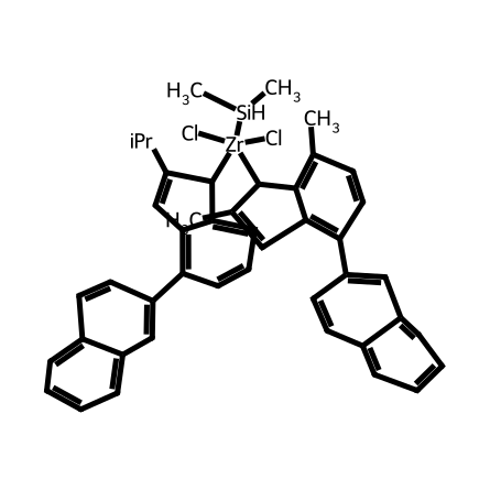 CC1=Cc2c(-c3ccc4ccccc4c3)ccc(C)c2[CH]1[Zr]([Cl])([Cl])([CH]1C(C(C)C)=Cc2c(-c3ccc4ccccc4c3)cccc21)[SiH](C)C